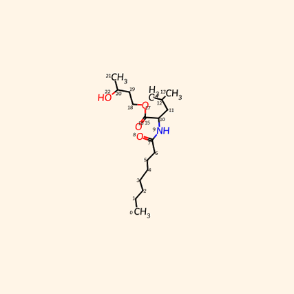 CCCCCCCC(=O)NC(CC(C)C)C(=O)OCCC(C)O